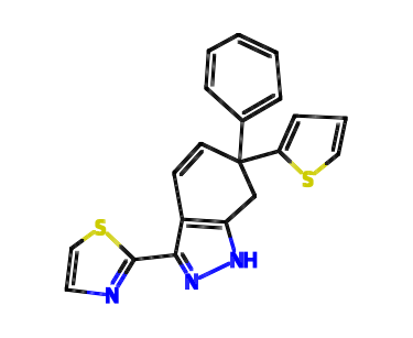 C1=CC(c2ccccc2)(c2cccs2)Cc2[nH]nc(-c3nccs3)c21